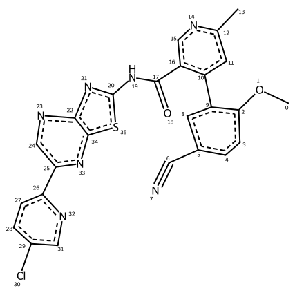 COc1ccc(C#N)cc1-c1cc(C)ncc1C(=O)Nc1nc2ncc(-c3ccc(Cl)cn3)nc2s1